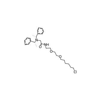 C[C@H](c1ccccc1)N(CC(=O)NCCOCCOCCCCCCCl)[C@H](C)c1ccccc1